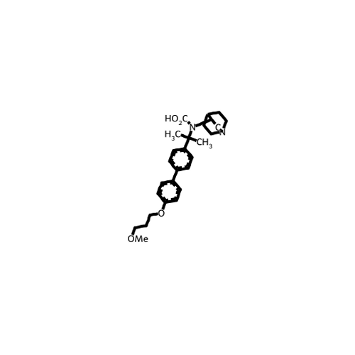 COCCCOc1ccc(-c2ccc(C(C)(C)N(C(=O)O)C3CN4CCC3CC4)cc2)cc1